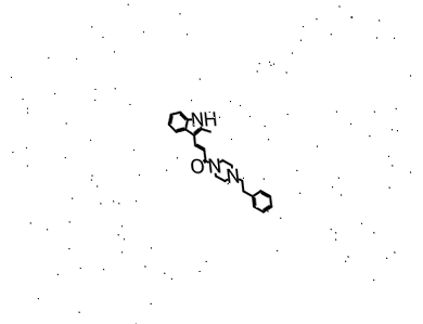 Cc1[nH]c2ccccc2c1C=CC(=O)N1CCN(CCc2ccccc2)CC1